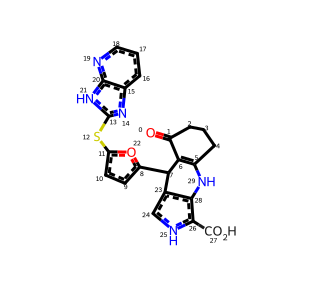 O=C1CCCC2=C1C(c1ccc(Sc3nc4cccnc4[nH]3)o1)c1c[nH]c(C(=O)O)c1N2